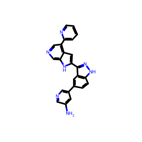 Nc1cncc(-c2ccc3[nH]nc(-c4cc5c(-c6ccccn6)cncc5[nH]4)c3c2)c1